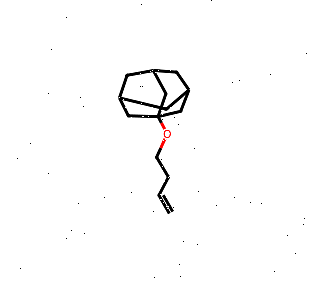 C=CCCOC12CC3CC(CC(C3)C1)C2